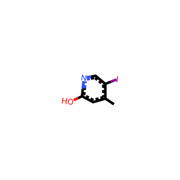 Cc1cc(O)ncc1I